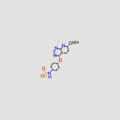 COc1ccc2c(Oc3ccc(N[SH](=O)=O)cc3)ncnc2n1